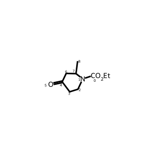 CCOC(=O)N1CCC(=O)CC1C